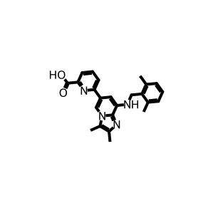 Cc1cccc(C)c1CNc1cc(-c2cccc(C(=O)O)n2)cn2c(C)c(C)nc12